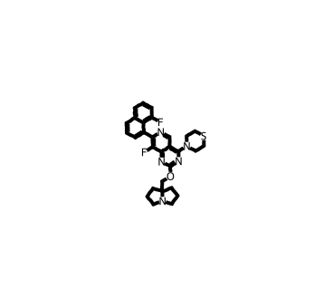 Fc1c(-c2cccc3cccc(F)c23)ncc2c(N3CCSCC3)nc(OCC34CCCN3CCC4)nc12